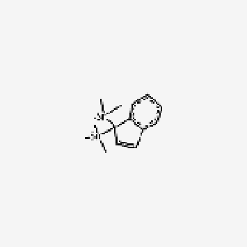 [CH3][Sn]([CH3])([CH3])[C]1([Sn]([CH3])([CH3])[CH3])C=Cc2ccccc21